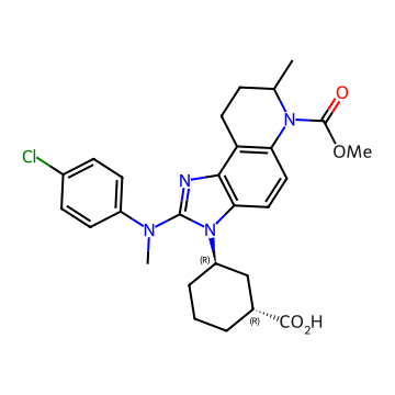 COC(=O)N1c2ccc3c(nc(N(C)c4ccc(Cl)cc4)n3[C@@H]3CCC[C@@H](C(=O)O)C3)c2CCC1C